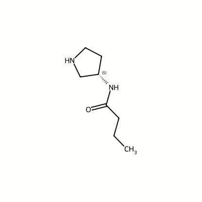 CCCC(=O)N[C@H]1CCNC1